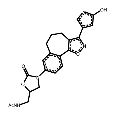 CC(=O)NCC1CN(c2ccc3c(c2)CCCc2c(-c4csc(O)c4)noc2-3)C(=O)O1